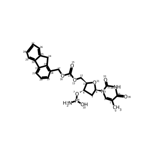 Cc1cn([C@H]2C[C@H](OP(N)O)[C@@H](COC(=O)OCc3cccc4c3Cc3ccccc3-4)O2)c(=O)[nH]c1=O